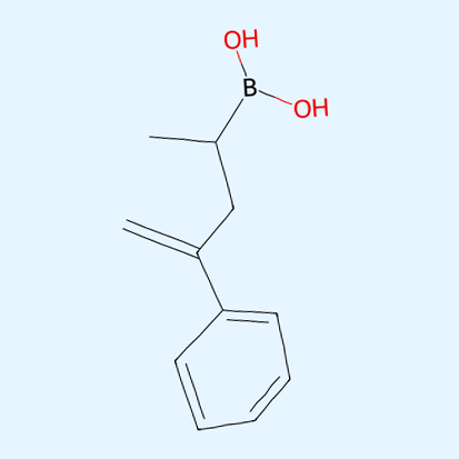 C=C(CC(C)B(O)O)c1ccccc1